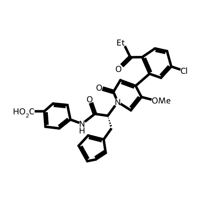 CCC(=O)c1ccc(Cl)cc1-c1cc(=O)n([C@H](Cc2ccccc2)C(=O)Nc2ccc(C(=O)O)cc2)cc1OC